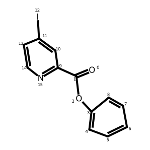 O=C(Oc1ccccc1)c1cc(I)ccn1